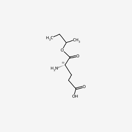 CCC(C)OC(=O)[C@@H](N)CCC(=O)O